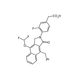 CC(C)Cc1c2c(c(OC(F)F)c3ccccc13)CN(c1ccc(CC(=O)O)cc1F)C2=O